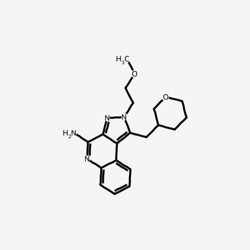 COCCn1nc2c(N)nc3ccccc3c2c1CC1CCCOC1